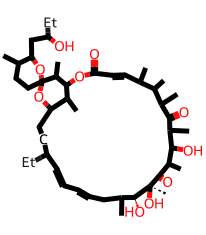 CCC(O)CC1OC2(CCC1C)OC1CCC(CC)/C=C/C=C/CC(C)[C@@H](O)[C@](C)(O)C(=O)C(C)C(O)C(C)C(=O)C(C)C(C)C(C)/C=C/C(=O)OC(C1C)C2C